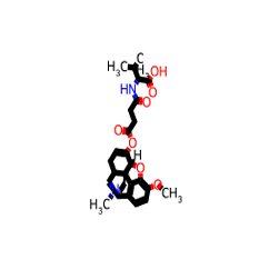 COc1ccc2c3c1O[C@H]1C(OC(=O)CCC(=O)NC(C(=O)O)C(C)C)=CCC4C(C2)N(C)CC[C@@]341